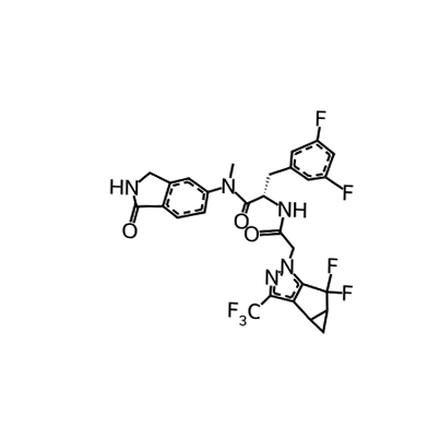 CN(C(=O)[C@H](Cc1cc(F)cc(F)c1)NC(=O)Cn1nc(C(F)(F)F)c2c1C(F)(F)C1CC21)c1ccc2c(c1)CNC2=O